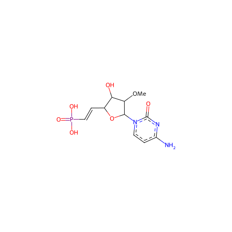 COC1C(O)C(C=CP(=O)(O)O)OC1n1ccc(N)nc1=O